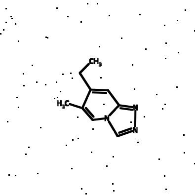 CCc1cc2nncn2cc1C